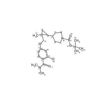 CN(C)C(=O)c1ccc(OCC2(C)CC2C2CCN(C(=O)OC(C)(C)C)CC2)cc1Cl